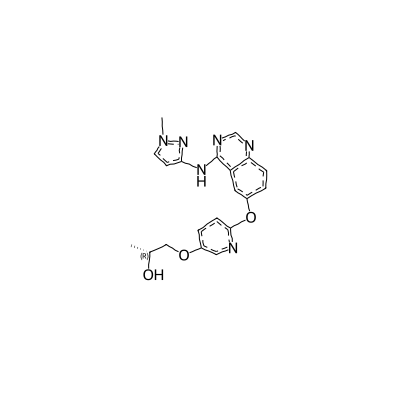 C[C@@H](O)COc1ccc(Oc2ccc3ncnc(Nc4ccn(C)n4)c3c2)nc1